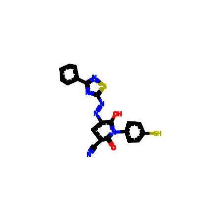 N#Cc1cc(N=Nc2nc(-c3ccccc3)ns2)c(O)n(-c2ccc(S)cc2)c1=O